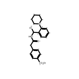 CCOC(=O)c1ccc(CC(=O)NC(CC)c2ccccc2N2CCCCC2)cc1